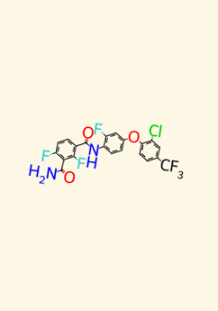 NC(=O)c1c(F)ccc(C(=O)Nc2ccc(Oc3ccc(C(F)(F)F)cc3Cl)cc2F)c1F